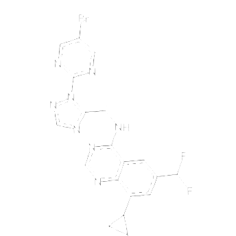 C[C@H](Nc1ncnc2c(C3CC3)cc(C(F)F)cc12)c1ncnn1-c1ncc(Br)cn1